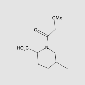 COCC(=O)N1CC(C)CCC1C(=O)O